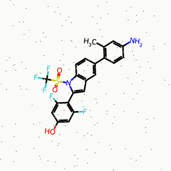 Cc1cc(N)ccc1-c1ccc2c(c1)cc(-c1c(F)cc(O)cc1F)n2S(=O)(=O)C(F)(F)F